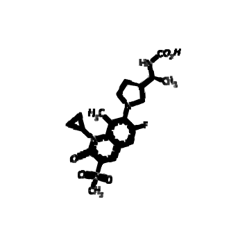 Cc1c(N2CC[C@@H]([C@H](C)NC(=O)O)C2)c(F)cc2cc(S(C)(=O)=O)c(=O)n(C3CC3)c12